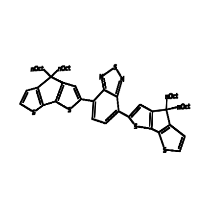 CCCCCCCCC1(CCCCCCCC)c2ccsc2-c2sc(-c3ccc(-c4cc5c(s4)-c4sccc4C5(CCCCCCCC)CCCCCCCC)c4nsnc34)cc21